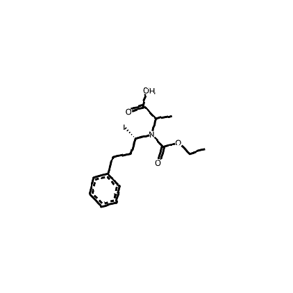 CCOC(=O)N(C(C)C(=O)O)[C@@H](I)CCc1ccccc1